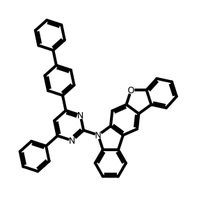 c1ccc(-c2ccc(-c3cc(-c4ccccc4)nc(-n4c5ccccc5c5cc6c(cc54)oc4ccccc46)n3)cc2)cc1